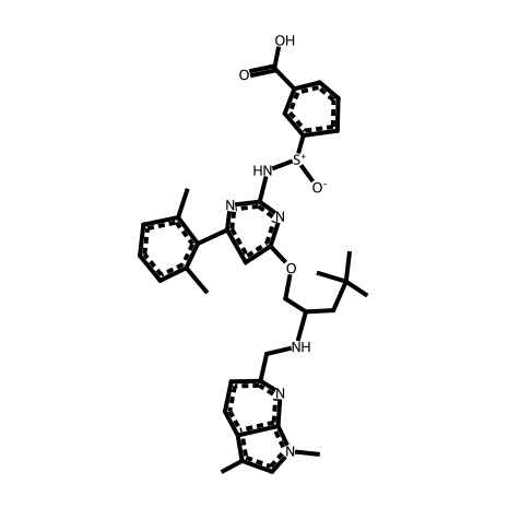 Cc1cccc(C)c1-c1cc(OCC(CC(C)(C)C)NCc2ccc3c(C)cn(C)c3n2)nc(N[S+]([O-])c2cccc(C(=O)O)c2)n1